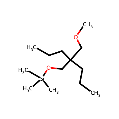 CCCC(CCC)(COC)CO[Si](C)(C)C